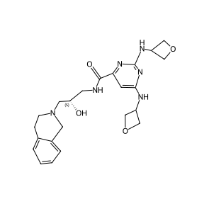 O=C(NC[C@H](O)CN1CCc2ccccc2C1)c1cc(NC2COC2)nc(NC2COC2)n1